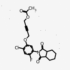 CC(=O)OCC#CCOc1cc(N2C(=O)C3CCCCC3C2=O)c(F)cc1Cl